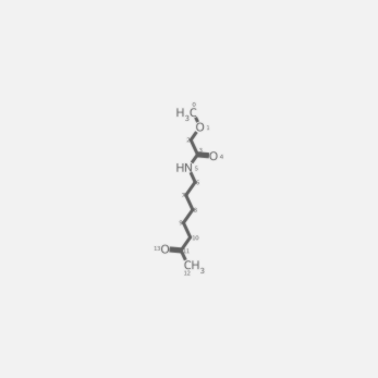 COCC(=O)NCCCCCC(C)=O